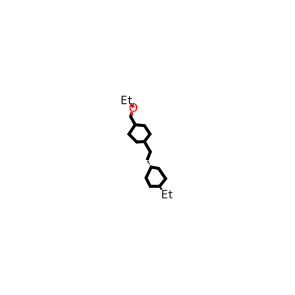 CCOCC1CCC(CC[C@H]2CC[C@H](CC)CC2)CC1